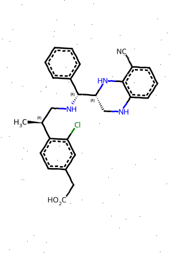 C[C@@H](CN[C@H](c1ccccc1)[C@H]1CNc2cccc(C#N)c2N1)c1ccc(CC(=O)O)cc1Cl